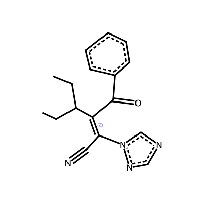 CCC(CC)/C(C(=O)c1ccccc1)=C(\C#N)n1cncn1